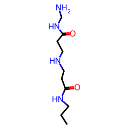 CCCNC(=O)CCNCCC(=O)NCN